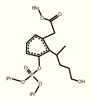 CC(C)OP(=O)(Oc1cccc(CC(=O)OC(C)(C)C)c1C(C)CCCO)OC(C)C